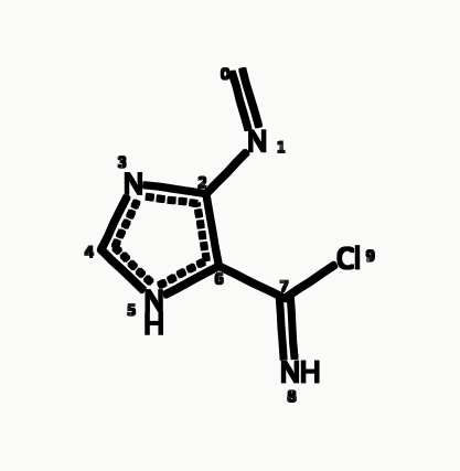 C=Nc1nc[nH]c1C(=N)Cl